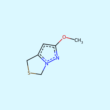 COc1cc2n(n1)CSC2